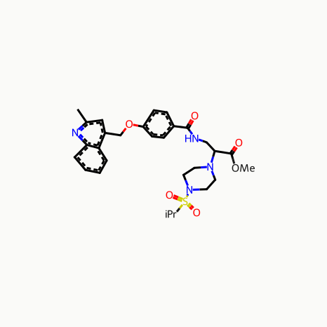 COC(=O)C(CNC(=O)c1ccc(OCc2cc(C)nc3ccccc23)cc1)N1CCN(S(=O)(=O)C(C)C)CC1